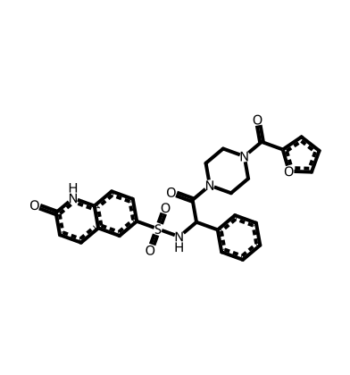 O=C(c1ccco1)N1CCN(C(=O)C(NS(=O)(=O)c2ccc3[nH]c(=O)ccc3c2)c2ccccc2)CC1